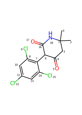 CC1(C)CC(=O)C(c2c(Cl)cc(Cl)cc2Cl)C(=O)N1